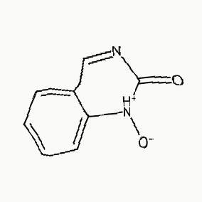 O=C1N=Cc2ccccc2[NH+]1[O-]